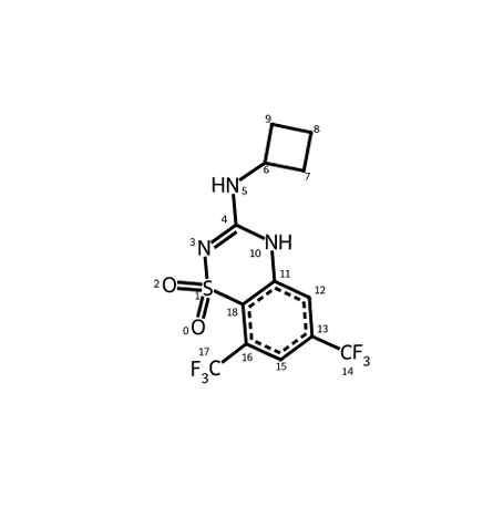 O=S1(=O)N=C(NC2CCC2)Nc2cc(C(F)(F)F)cc(C(F)(F)F)c21